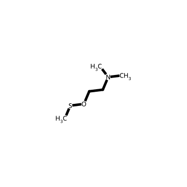 CSOCCN(C)C